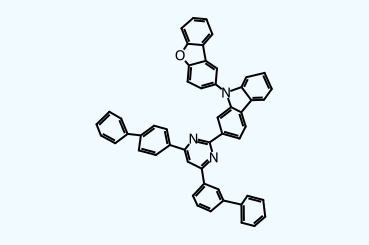 c1ccc(-c2ccc(-c3cc(-c4cccc(-c5ccccc5)c4)nc(-c4ccc5c6ccccc6n(-c6ccc7oc8ccccc8c7c6)c5c4)n3)cc2)cc1